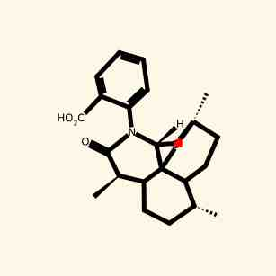 C[C@@H]1CCC2[C@@H](C)C(=O)N(c3ccccc3C(=O)O)[C@@H]3O[C@]4(C)CCC1C23OO4